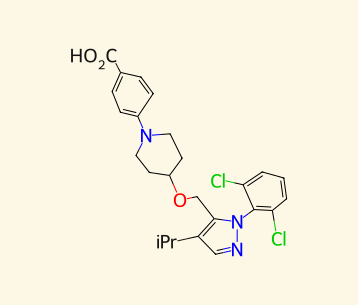 CC(C)c1cnn(-c2c(Cl)cccc2Cl)c1COC1CCN(c2ccc(C(=O)O)cc2)CC1